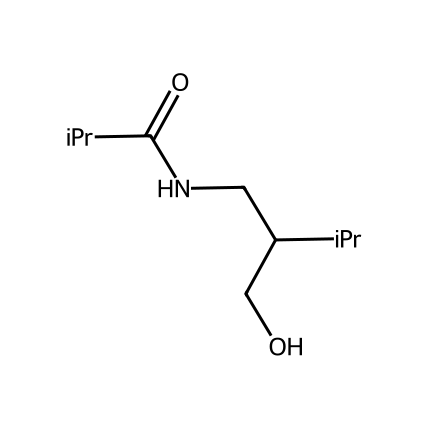 CC(C)C(=O)NCC(CO)C(C)C